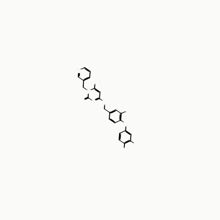 Cc1cc(OCc2ccc(Oc3ccc(Cl)c(C(F)(F)F)c3)c(F)c2)nc(=O)n1Cc1cccnc1